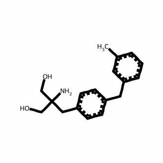 Cc1cccc(Cc2ccc(CC(N)(CO)CO)cc2)c1